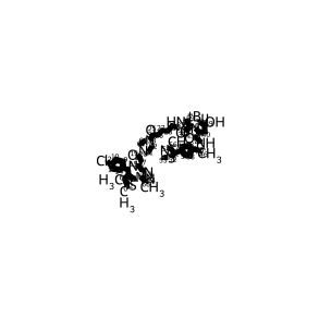 Cc1sc2c(c1C)C(c1ccc(Cl)cc1)=N[C@@H](CC(=O)N1CCN(C(=O)CCCCC(=O)N[C@H](C(=O)N3C[C@H](O)C[C@H]3C(=O)N[C@@H](C)c3ccc(C4SC=NC4C)cc3)C(C)(C)C)CC1)c1nnc(C)n1-2